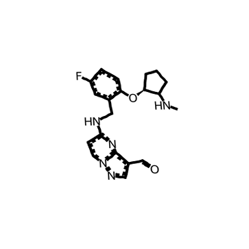 CNC1CCC[C@@H]1Oc1ccc(F)cc1CNc1ccn2ncc(C=O)c2n1